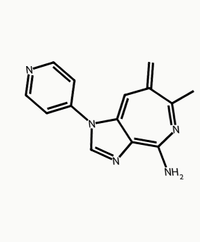 C=C1C=c2c(ncn2-c2ccncc2)=C(N)N=C1C